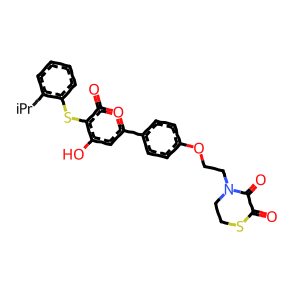 CC(C)c1ccccc1Sc1c(O)cc(-c2ccc(OCCN3CCSC(=O)C3=O)cc2)oc1=O